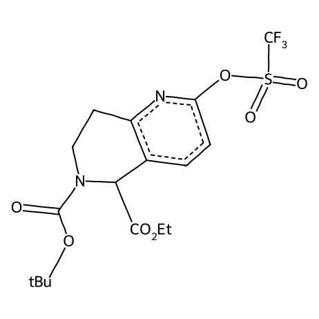 CCOC(=O)C1c2ccc(OS(=O)(=O)C(F)(F)F)nc2CCN1C(=O)OC(C)(C)C